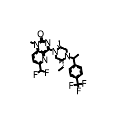 CC[C@@H]1CN(c2nc(=O)n(C)c3ccc(C(F)F)nc23)[C@@H](C)CN1C(C)c1ccc(C(F)(F)F)cc1